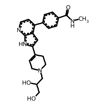 CNC(=O)c1ccc(-c2ccnc3[nH]c(C4=CCN(CC(O)CO)CC4)cc23)cc1